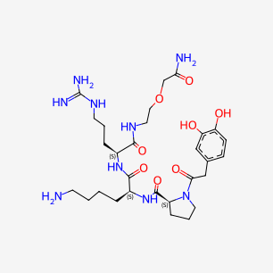 N=C(N)NCCC[C@H](NC(=O)[C@H](CCCCN)NC(=O)[C@@H]1CCCN1C(=O)Cc1ccc(O)c(O)c1)C(=O)NCCOCC(N)=O